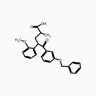 COc1ccccc1C(CC(C)C(=O)O)C(=O)c1cccc(OCc2ccccc2)c1